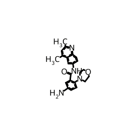 Cc1cc(C)c2cc(NC(=O)c3cc(N)ccc3N3CCOCC3)ccc2n1